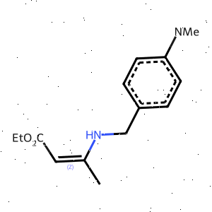 CCOC(=O)/C=C(/C)NCc1ccc(NC)cc1